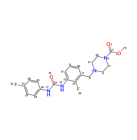 COC(=O)N1CCN(Cc2cccc(NC(=O)Nc3ccc(F)cc3)c2F)CC1